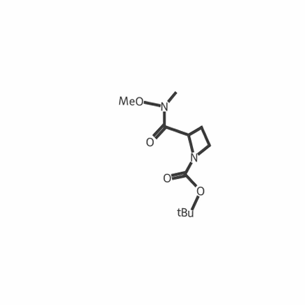 CON(C)C(=O)C1CCN1C(=O)OC(C)(C)C